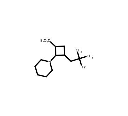 CCOC(=O)C1CC(CC(C)(C)C(C)C)C1N1CCCCC1